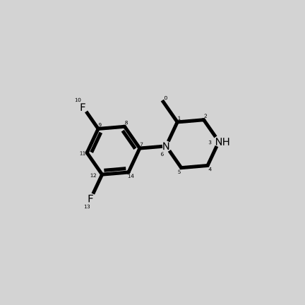 CC1CNCCN1c1cc(F)cc(F)c1